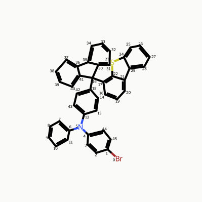 Brc1ccc(N(c2ccccc2)c2ccc(C3(c4cccc5c4sc4ccccc45)c4ccccc4-c4ccccc43)cc2)cc1